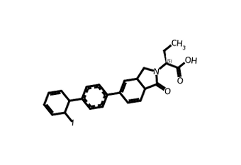 CC[C@@H](C(=O)O)N1CC2C=C(c3ccc(C4C=CC=CC4I)cc3)C=CC2C1=O